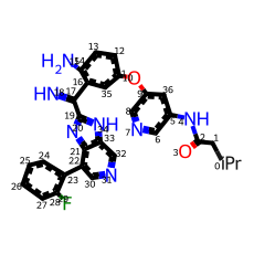 CC(C)CC(=O)Nc1cncc(Oc2ccc(N)c(C(=N)c3nc4c(-c5ccccc5F)cncc4[nH]3)c2)c1